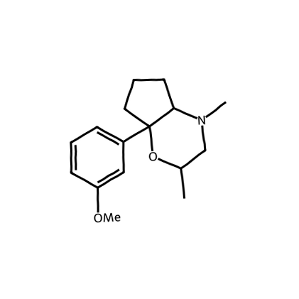 COc1cccc(C23CCCC2N(C)CC(C)O3)c1